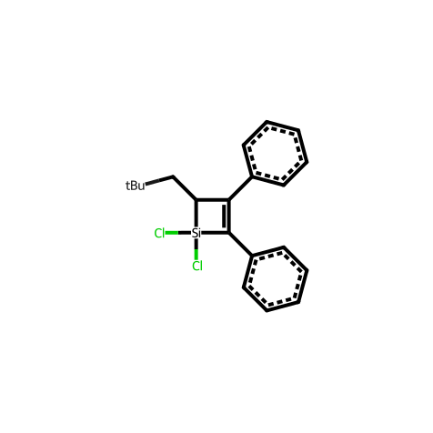 CC(C)(C)CC1C(c2ccccc2)=C(c2ccccc2)[Si]1(Cl)Cl